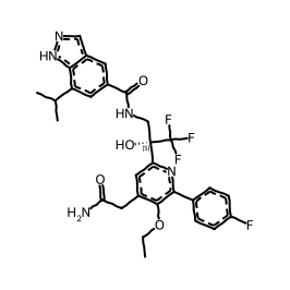 CCOc1c(CC(N)=O)cc([C@@](O)(CNC(=O)c2cc(C(C)C)c3[nH]ncc3c2)C(F)(F)F)nc1-c1ccc(F)cc1